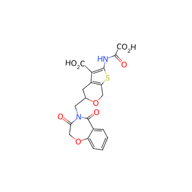 O=C(O)C(=O)Nc1sc2c(c1C(=O)O)CC(CN1C(=O)COc3ccccc3C1=O)OC2